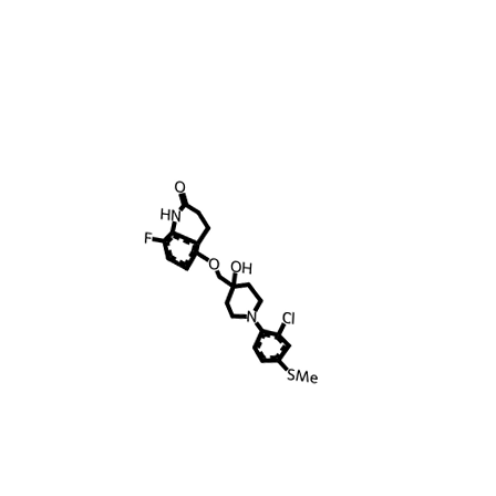 CSc1ccc(N2CCC(O)(COc3ccc(F)c4c3CCC(=O)N4)CC2)c(Cl)c1